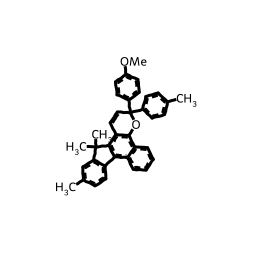 COc1ccc(C2(c3ccc(C)cc3)C=Cc3c4c(c5ccccc5c3O2)-c2ccc(C)cc2C4(C)C)cc1